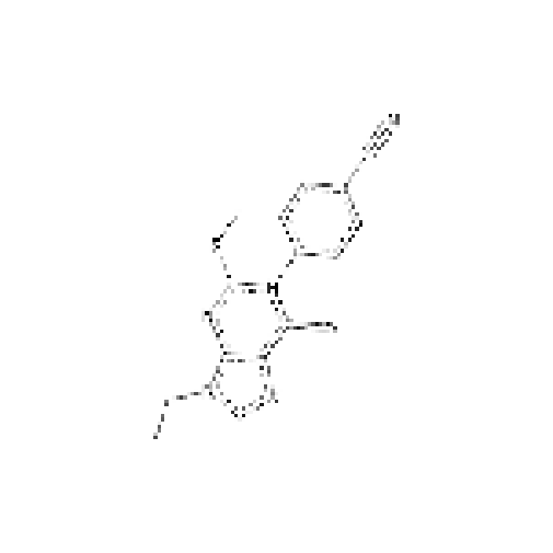 CCn1cnc2c(=O)n(-c3ccc(C#N)cc3)c(SC)nc21